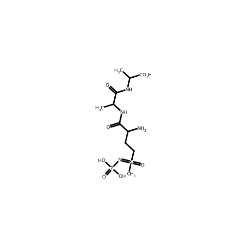 CC(NC(=O)C(C)NC(=O)C(N)CCS(C)(=O)=NP(=O)(O)O)C(=O)O